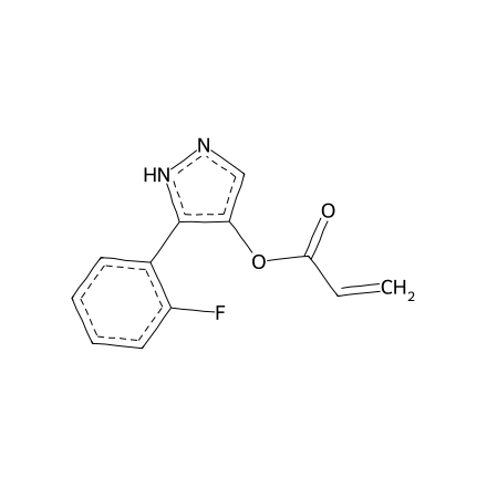 C=CC(=O)Oc1cn[nH]c1-c1ccccc1F